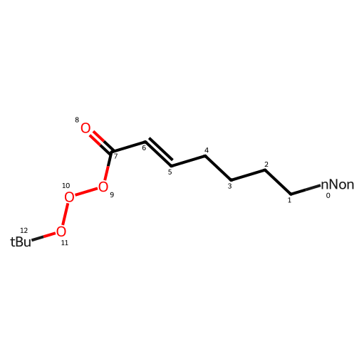 CCCCCCCCCCCCCC=CC(=O)OOOC(C)(C)C